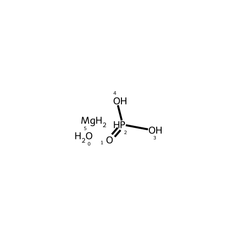 O.O=[PH](O)O.[MgH2]